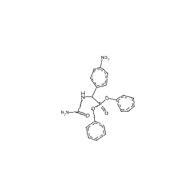 NC(=O)NC(c1ccc([N+](=O)[O-])cc1)P(=O)(Oc1ccccc1)Oc1ccccc1